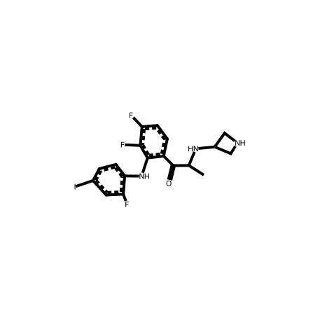 CC(NC1CNC1)C(=O)c1ccc(F)c(F)c1Nc1ccc(I)cc1F